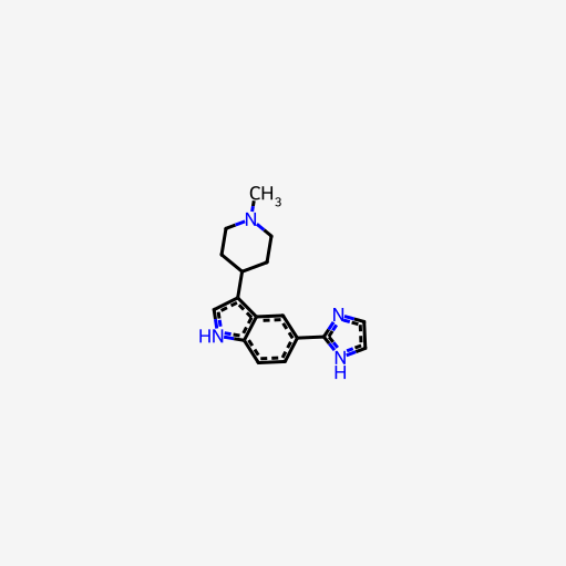 CN1CCC(c2c[nH]c3ccc(-c4ncc[nH]4)cc23)CC1